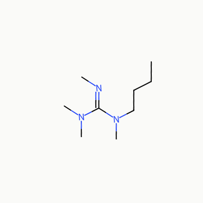 CCCCN(C)C(=NC)N(C)C